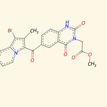 COC(=O)Cn1c(=O)[nH]c2ccc(C(=O)c3c(C)c(Br)c4ccccn34)cc2c1=O